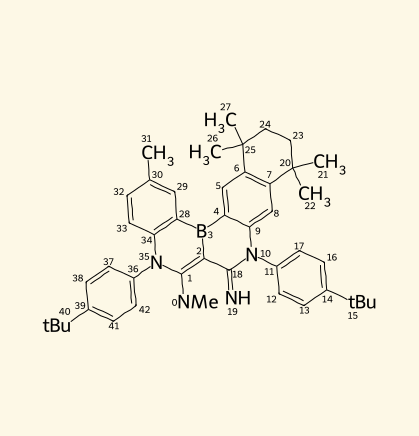 CNC1=C2B(c3cc4c(cc3N(c3ccc(C(C)(C)C)cc3)C2=N)C(C)(C)CCC4(C)C)c2cc(C)ccc2N1c1ccc(C(C)(C)C)cc1